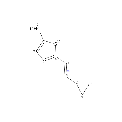 O=Cc1ccc(/C=C/C2CC2)s1